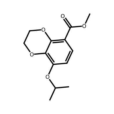 COC(=O)c1ccc(OC(C)C)c2c1OCCO2